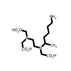 CC(CCCCN)N(CCN(CC(=O)O)CC(=O)O)CC(=O)O